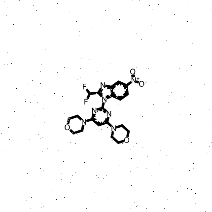 O=[N+]([O-])c1ccc2c(c1)nc(C(F)F)n2-c1nc(N2CCOCC2)cc(N2CCOCC2)n1